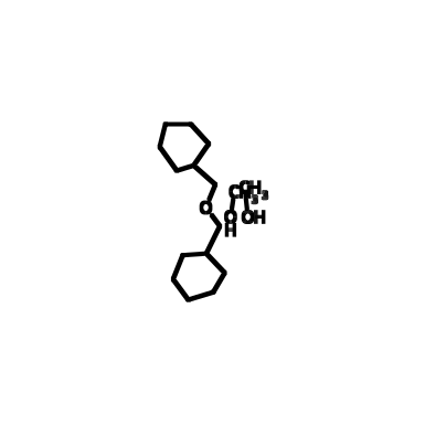 C1CCC(COCC2CCCCC2)CC1.CO.CO